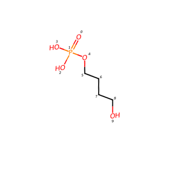 O=P(O)(O)OCCCCO